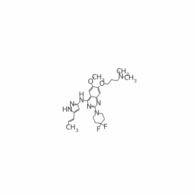 C/C=C/c1cc(Nc2nc(N3CCC(F)(F)CC3)nc3cc(OCCCN(C)C)c(OC)cc23)n[nH]1